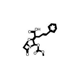 COC(=O)OC1C(=C(CC=Cc2ccccc2)C(=O)O)OC2CC(=O)N21